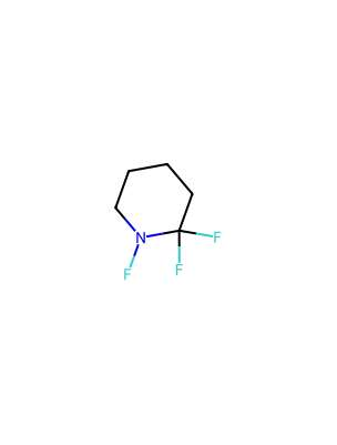 FN1CCCCC1(F)F